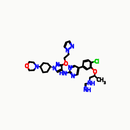 C[C@@H](CNC=N)Oc1cc(-c2cnc(Nc3cn([C@H]4CC[C@H](N5CCOCC5)CC4)nc3OCCn3cccn3)nc2)ccc1Cl